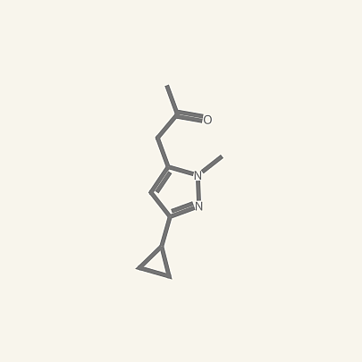 CC(=O)Cc1cc(C2CC2)nn1C